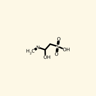 C=NC(O)CS(=O)(=O)O